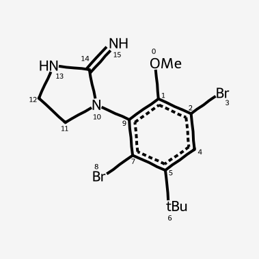 COc1c(Br)cc(C(C)(C)C)c(Br)c1N1CCNC1=N